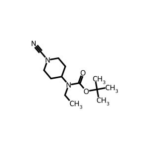 CCN(C(=O)OC(C)(C)C)C1CCN(C#N)CC1